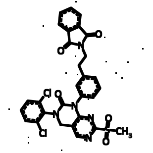 CS(=O)(=O)c1ncc2c(n1)N(c1cccc(CCN3C(=O)c4ccccc4C3=O)c1)C(=O)N(c1c(Cl)cccc1Cl)C2